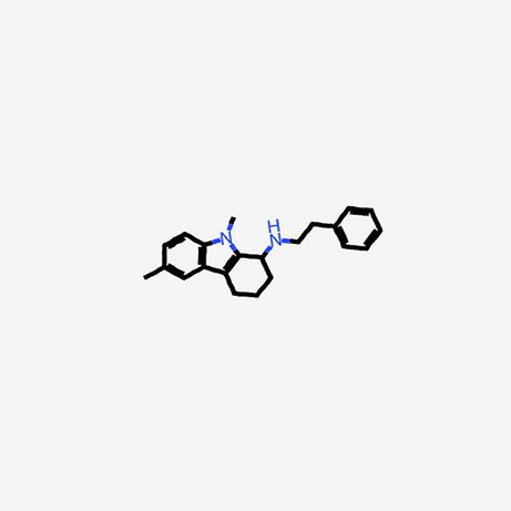 Cc1ccc2c(c1)c1c(n2C)C(NCCc2ccccc2)CCC1